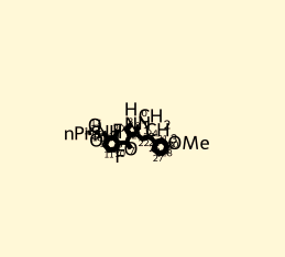 C=Nc1[nH]cc(C(=O)c2c(F)ccc(NS(=O)(=O)CCC)c2F)c1/C=C(\C)c1cccc(OC)c1